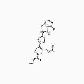 CCOC(=O)N1CCC(c2ccc(NC(=O)c3c(F)cccc3F)cc2)=C(COC(C)=O)C1